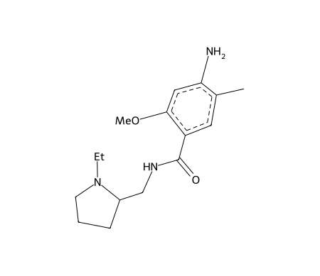 CCN1CCCC1CNC(=O)c1cc(C)c(N)cc1OC